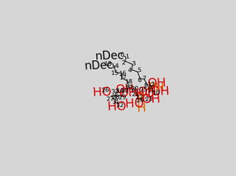 CCCCCCCCCCCCCCCCCC[PH](O)(O)O.CCCCCCCCCCCCCCCCCC[PH](O)(O)O.OCC(CO)(CO)CO